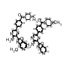 CN1CCN(C(=O)c2ccc(-c3cnc(N)c(-c4nc5cnccc5o4)n3)cc2)CC1.CN1CCN(C(=O)c2ccc(-c3cnc(N)c(-c4nc5cnccc5o4)n3)cc2)CC1.O